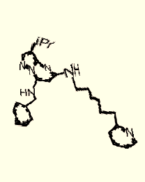 CC(C)c1cnn2c(NCc3ccccc3)cc(NCCCCCCc3ccccn3)nc12